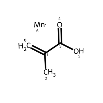 C=C(C)C(=O)O.[Mn]